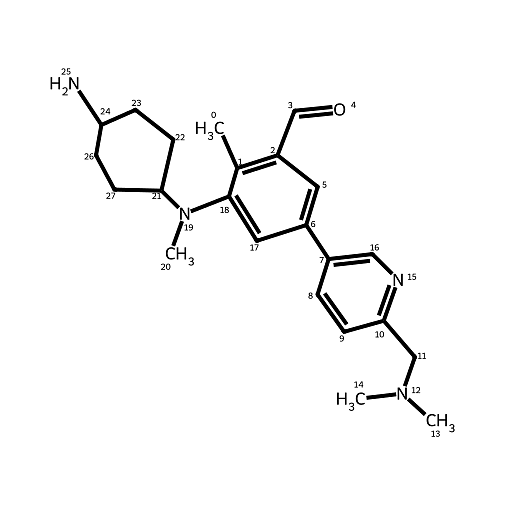 Cc1c(C=O)cc(-c2ccc(CN(C)C)nc2)cc1N(C)C1CCC(N)CC1